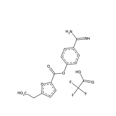 N=C(N)c1ccc(OC(=O)c2ccc(CC(=O)O)o2)cc1.O=C(O)C(F)(F)F